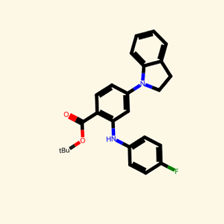 CC(C)(C)OC(=O)c1ccc(N2CCc3ccccc32)cc1Nc1ccc(F)cc1